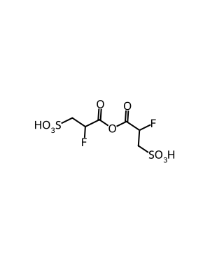 O=C(OC(=O)C(F)CS(=O)(=O)O)C(F)CS(=O)(=O)O